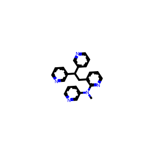 CN(c1cccnc1)c1ncccc1CC(c1cccnc1)c1cccnc1